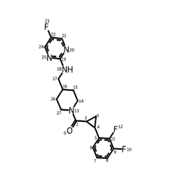 O=C(C1CC1c1cccc(F)c1F)N1CCC(CNc2ncc(F)cn2)CC1